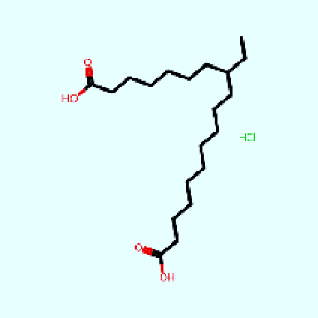 CCC(CCCCCCCCCC(=O)O)CCCCCCC(=O)O.Cl